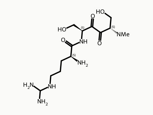 CN[C@@H](CO)C(=O)C(=O)[C@H](CO)NC(=O)[C@@H](N)CCCNC(N)N